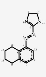 c1cc2c(c(N=NC3=NCCS3)c1)CCCC2